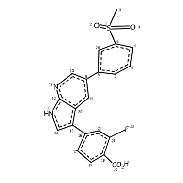 CS(=O)(=O)c1cccc(-c2cnc3[nH]cc(-c4ccc(C(=O)O)c(F)c4)c3c2)c1